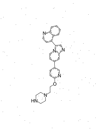 c1ccc2c(-c3cnc4cc(-c5ccc(OCCN6CCNCC6)nc5)ccn34)ccnc2c1